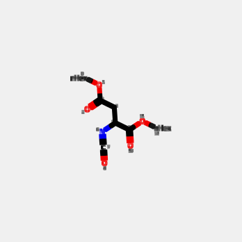 CCCCCCOC(=O)CC(N=C=O)C(=O)OCCCCCC